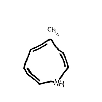 C.C1=CC=CNC=C1